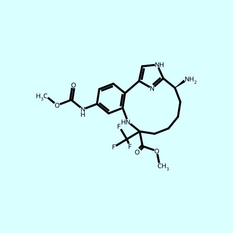 COC(=O)Nc1ccc2c(c1)NC(C(=O)OC)(C(F)(F)F)CCCC[C@H](N)c1nc-2c[nH]1